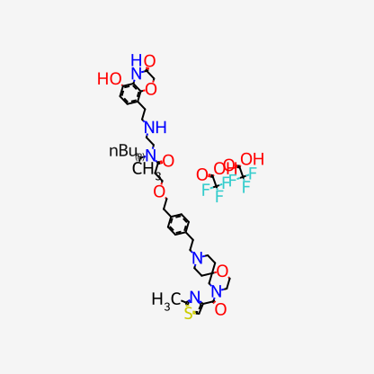 CCCC[C@@H](C)N(CCNCCc1ccc(O)c2c1OCC(=O)N2)C(=O)CCOCCc1ccc(CCN2CCC3(CC2)CN(C(=O)c2csc(C)n2)CCO3)cc1.O=C(O)C(F)(F)F.O=C(O)C(F)(F)F